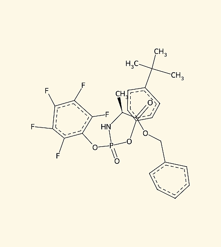 C[C@H](NP(=O)(Oc1ccc(C(C)(C)C)cc1)Oc1c(F)c(F)c(F)c(F)c1F)C(=O)OCc1ccccc1